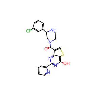 O=C(c1csc2c(O)nc(-c3ccccn3)nc12)N1CCNC(c2cccc(Cl)c2)C1